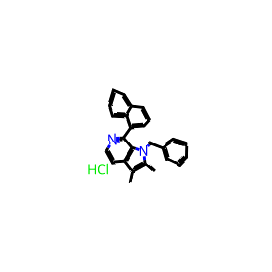 Cc1c(C)n(Cc2ccccc2)c2c(-c3cccc4ccccc34)nccc12.Cl